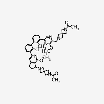 COc1nc(-c2cccc(-c3cccc(-c4cc5c(c(OC)n4)C(N4CC6(CN(C(C)=O)C6)C4)CC5)c3Cl)c2C)cnc1CN1CC2(C1)CN(C(C)=O)C2